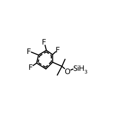 CC(C)(O[SiH3])c1cc(F)c(F)c(F)c1F